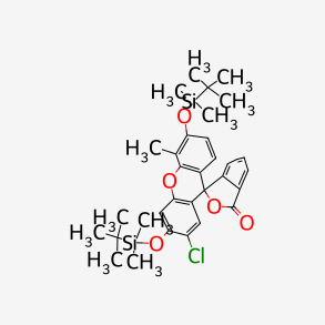 Cc1c(O[Si](C)(C)C(C)(C)C)ccc2c1Oc1cc(O[Si](C)(C)C(C)(C)C)c(Cl)cc1C21OC(=O)c2ccccc21